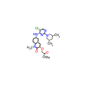 COC(=O)COc1cc2cc(Nc3nc(N4CC(C)CC(C)C4)ncc3Cl)ccc2n(C)c1=O